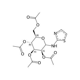 CC(=O)OC[C@H]1OC(Nc2nccs2)[C@@H](OC(C)=O)[C@@H](OC(C)=O)[C@@H]1OC(C)=O